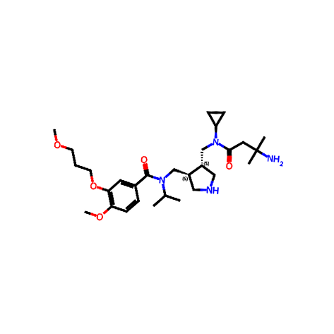 COCCCOc1cc(C(=O)N(C[C@@H]2CNC[C@H]2CN(C(=O)CC(C)(C)N)C2CC2)C(C)C)ccc1OC